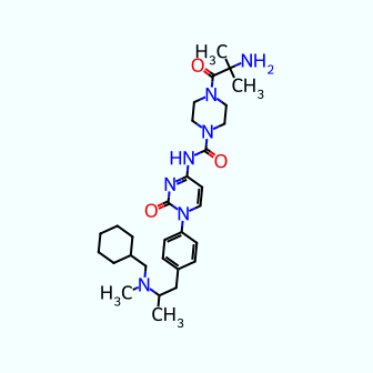 CC(Cc1ccc(-n2ccc(NC(=O)N3CCN(C(=O)C(C)(C)N)CC3)nc2=O)cc1)N(C)CC1CCCCC1